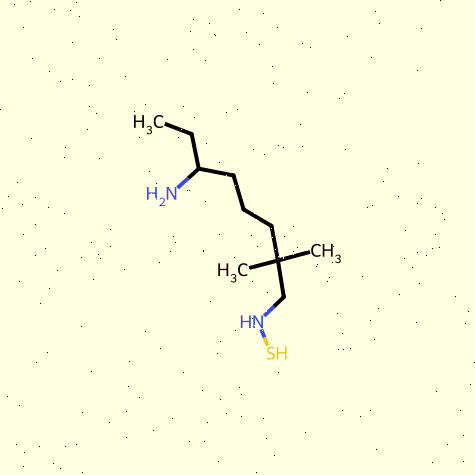 CCC(N)CCCC(C)(C)CNS